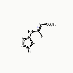 CCOC(=O)/C=C(\C)Nc1cn[nH]c1